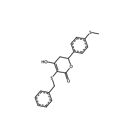 CSc1ccc(C2CC(O)=C(SCc3ccccc3)C(=O)O2)cc1